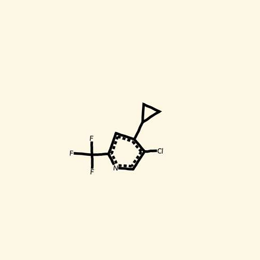 FC(F)(F)c1cc(C2CC2)c(Cl)cn1